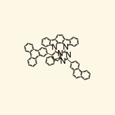 c1ccc(-c2nc(-c3ccc4c(ccc5ccccc54)c3)nc(-n3c4ccccc4c4ccc5c6ccccc6n(-c6ccccc6-c6ccc7c8ccccc8c8ccccc8c7c6)c5c43)n2)cc1